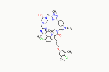 Cc1cc(OCCCc2c3n(c4c(-c5c(C)nc(CN6CCN(C)C(O)C6)nc5C)c(Cl)ccc24)[C@H](C)CN(c2cn(C)c4ccc(-c5ncn(C)n5)cc24)C3=O)cc(C)c1Cl